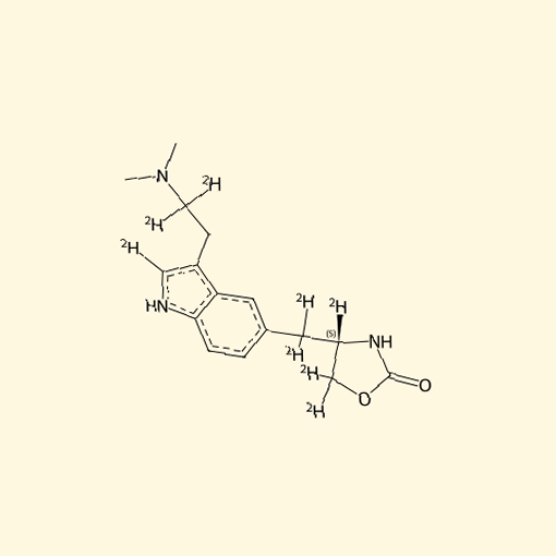 [2H]c1[nH]c2ccc(C([2H])([2H])[C@]3([2H])NC(=O)OC3([2H])[2H])cc2c1CC([2H])([2H])N(C)C